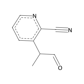 CC(C=O)c1cccnc1C#N